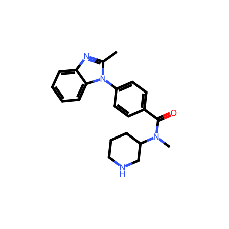 Cc1nc2ccccc2n1-c1ccc(C(=O)N(C)C2CCCNC2)cc1